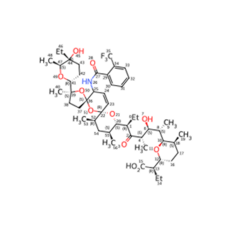 CC[C@@H](C(=O)[C@@H](C)[C@@H](O)[C@H](C)[C@@H]1O[C@@H]([C@@H](CC)C(=O)O)CC[C@@H]1C)[C@H]1O[C@]2(C=CC(NC(=O)c3ccccc3C(F)(F)F)[C@]3(CC[C@@](C)([C@H]4CC[C@](O)(CC)[C@H](C)O4)O3)O2)[C@H](C)C[C@@H]1C